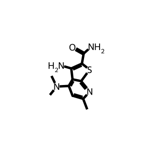 Cc1cc(N(C)C)c2c(N)c(C(N)=O)sc2n1